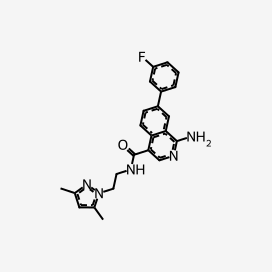 Cc1cc(C)n(CCNC(=O)c2cnc(N)c3cc(-c4cccc(F)c4)ccc23)n1